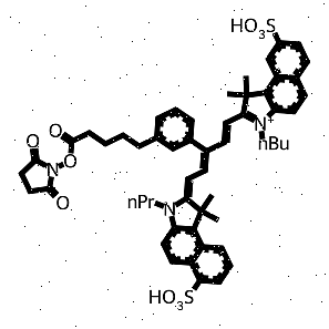 CCCC[N+]1=C(/C=C/C(=C/C=C2/N(CCC)c3ccc4c(S(=O)(=O)O)cccc4c3C2(C)C)c2cccc(CCCCC(=O)ON3C(=O)CCC3=O)c2)C(C)(C)c2c1ccc1ccc(S(=O)(=O)O)cc21